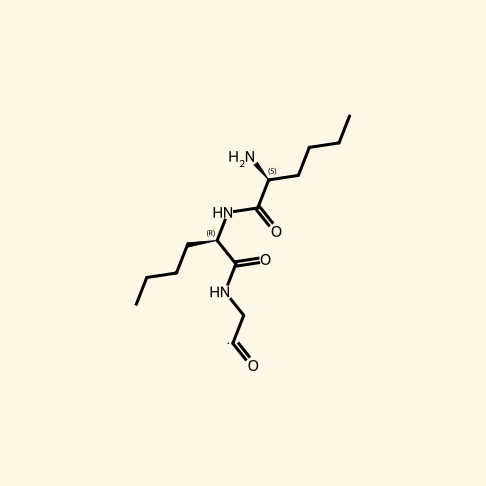 CCCC[C@H](N)C(=O)N[C@H](CCCC)C(=O)NC[C]=O